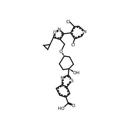 O=C(O)c1ccc2nc([C@]3(O)CC[C@@H](OCc4c(-c5c(Cl)cncc5Cl)noc4C4CC4)CC3)sc2c1